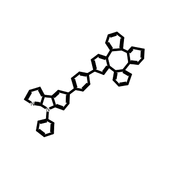 c1ccc(-n2c3ccc(-c4ccc(-c5ccc6c(c5)-c5ccccc5-c5ccccc5-c5ccccc5-6)cc4)cc3c3cccnc32)cc1